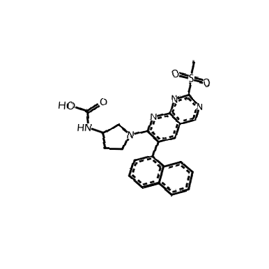 CS(=O)(=O)c1ncc2cc(-c3cccc4ccccc34)c(N3CCC(NC(=O)O)C3)nc2n1